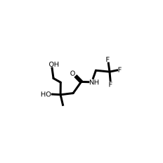 CC(O)(CCO)CC(=O)NCC(F)(F)F